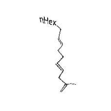 C=C(C)CC=CCCC=CCCCCCCC